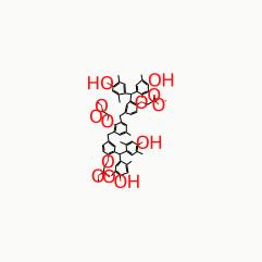 COC(=O)COc1ccc(Cc2cc(C)cc(Cc3ccc(OCC(=O)OC)c(C(c4cc(C)c(O)cc4C)c4cc(C)c(O)cc4C)c3)c2OCC(=O)OC)cc1C(c1cc(C)c(O)cc1C)c1cc(C)c(O)cc1C